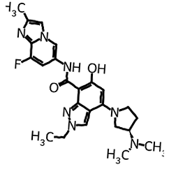 CCn1cc2c(N3CC[C@@H](N(C)C)C3)cc(O)c(C(=O)Nc3cc(F)c4nc(C)cn4c3)c2n1